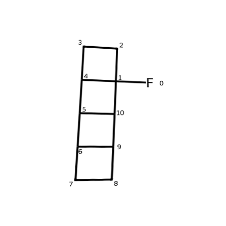 FC12CCC1C1C3CCC3C12